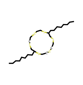 CCCCCCCCC1CSCCSCCSC(CCCCCCCC)CSCCSCCS1